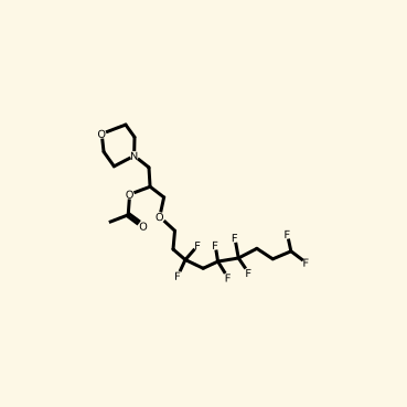 CC(=O)OC(COCCC(F)(F)CC(F)(F)C(F)(F)CCC(F)F)CN1CCOCC1